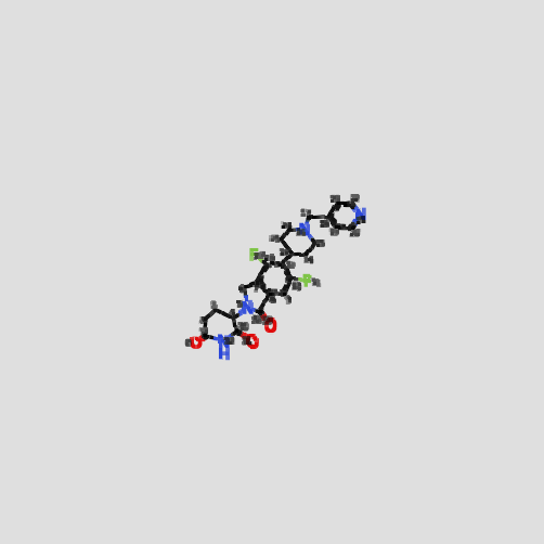 O=C1CCC(N2Cc3c(cc(F)c(C4CCN(Cc5ccncc5)CC4)c3F)C2=O)C(=O)N1